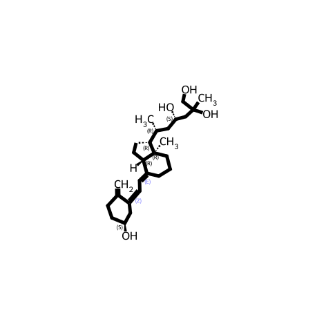 C=C1CC[C@H](O)C/C1=C/C=C1\CCC[C@]2(C)[C@@H]([C@H](C)C[C@H](O)CC(C)(O)CO)CC[C@@H]12